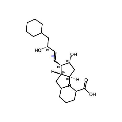 O=C(O)C1CCCC2C[C@@H]3[C@@H](/C=C/[C@H](O)CC4CCCCC4)[C@H](O)C[C@H]3N21